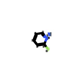 Fc1ccccn1.[N]